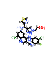 N#Cc1cnc2c(Cl)cc(N[C@@H](c3cscn3)c3cn(CCO)nn3)cc2c1Nc1ccc(F)c(Cl)c1